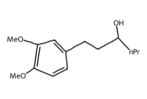 CCCC(O)CCc1ccc(OC)c(OC)c1